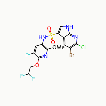 COc1nc(OCC(F)F)c(F)cc1NS(=O)(=O)c1c[nH]c2nc(Cl)c(Br)cc12